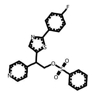 O=S(=O)(OCC(c1ccncc1)c1cnc(-c2ccc(F)cc2)s1)c1ccccc1